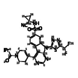 CC(C)C(=O)N1CC=C(c2ncnc3c2c2ccc(S(=O)(=O)NC4(C#N)CC4)cc2n3-c2nnc(C(F)F)s2)CC1